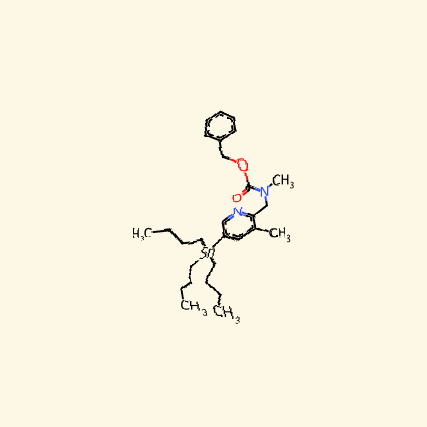 CCC[CH2][Sn]([CH2]CCC)([CH2]CCC)[c]1cnc(CN(C)C(=O)OCc2ccccc2)c(C)c1